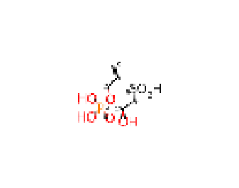 C=CCOP(=O)(O)O.O=S(=O)(O)CCO